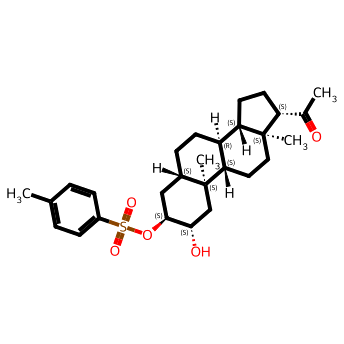 CC(=O)[C@H]1CC[C@H]2[C@@H]3CC[C@H]4C[C@H](OS(=O)(=O)c5ccc(C)cc5)[C@@H](O)C[C@]4(C)[C@H]3CC[C@]12C